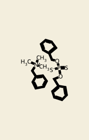 C[N+](C)(C)Cc1ccccc1.S=P([S-])(OCc1ccccc1)OCc1ccccc1